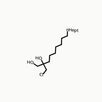 CCCCCCCCCCCCCCC(O)(CO)CCl